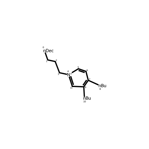 CCCCCCCCCCCCC[n+]1ccc(CCCC)c(CCCC)c1